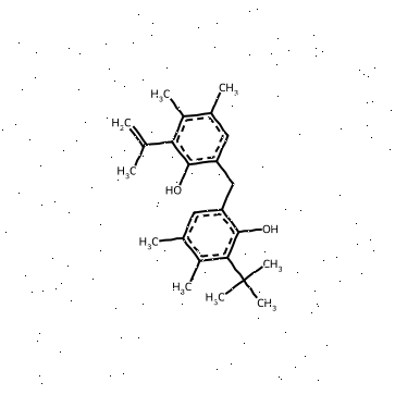 C=C(C)c1c(C)c(C)cc(Cc2cc(C)c(C)c(C(C)(C)C)c2O)c1O